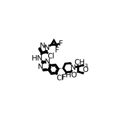 C[C@@]1(N2CC[C@@H](c3cc4nc(Nc5cnn(C6CC6(F)F)c5Cl)ncc4cc3Cl)[C@H](F)C2)COC[C@@H]1O